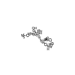 Cc1ncsc1-c1ccc(CNC(=O)[C@@H]2C[C@@H](O)CN2C(=O)C(NC(=O)COCCN2CCN(c3ccc(Nc4ncc5ccc(-c6cccc(NS(C)(=O)=O)c6)n5n4)cc3)CC2)C(C)(C)C)cc1